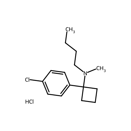 CCCCN(C)C1(c2ccc(Cl)cc2)CCC1.Cl